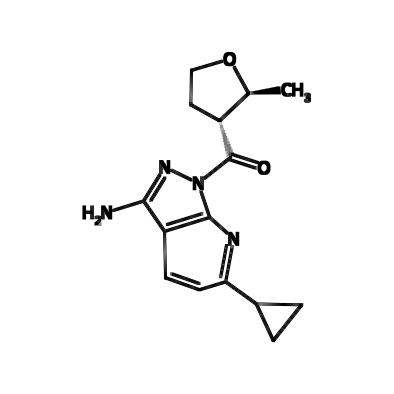 C[C@@H]1OCC[C@H]1C(=O)n1nc(N)c2ccc(C3CC3)nc21